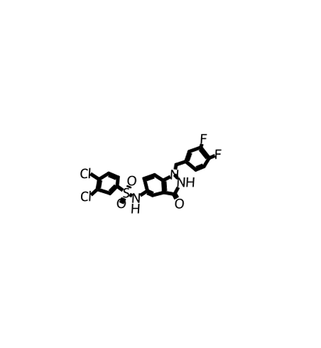 O=c1[nH]n(Cc2ccc(F)c(F)c2)c2ccc(NS(=O)(=O)c3ccc(Cl)c(Cl)c3)cc12